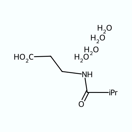 CC(C)C(=O)NCCC(=O)O.O.O.O.O